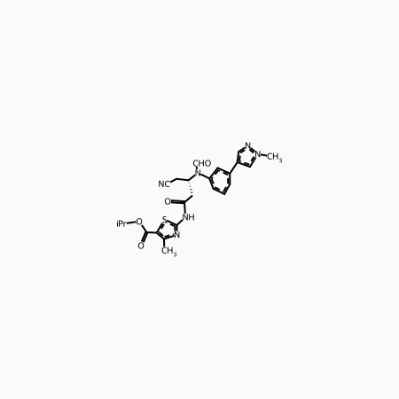 Cc1nc(NC(=O)C[C@H](CC#N)N(C=O)c2cccc(-c3cnn(C)c3)c2)sc1C(=O)OC(C)C